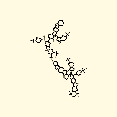 CC(C)(C)c1ccc(Nc2cc3sc4cc5c(cc4c3cc2-c2ccc3c4cc6sc7cc(CC8(C)CCC(C)(C)c9cc%10c(cc98)oc8cc(Nc9ccc(C(C)(C)C)cc9)c(-c9ccc%11c%12cc%13sc%14ccccc%14c%13cc%12n%12c%13c([b+]c9c%11%12)sc9ccc(C(C)(C)C)cc9%13)cc8%10)ccc7c6cc4n4c3c2Bc2sc3ccc(C(C)(C)C)cc3c2-4)C(C)(C)CCC5(C)C)cc1